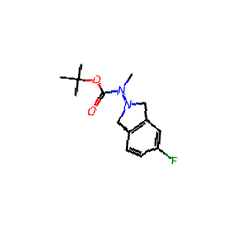 CN(C(=O)OC(C)(C)C)N1Cc2ccc(F)cc2C1